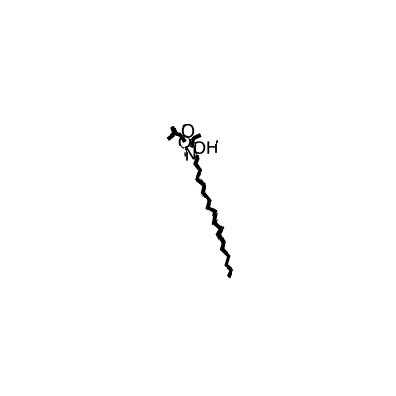 C=C(C)C(=O)OC(O)(CC)N(C)CCCCCCCCCCCCCCCCCC